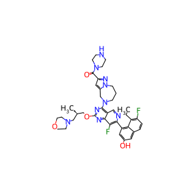 CCc1c(F)ccc2cc(O)cc(-c3ncc4c(N5CCCn6nc(C(=O)N7CCNCC7)cc6C5)nc(OC[C@H](C)CN5CCOCC5)nc4c3F)c12